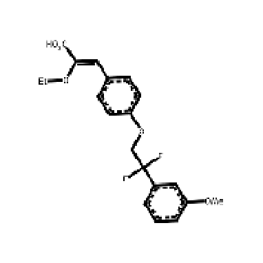 CCO/C(=C\c1ccc(OCC(F)(F)c2cccc(OC)c2)cc1)C(=O)O